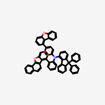 c1ccc(C2(c3ccccc3)c3ccccc3-c3c(N(c4ccc(-c5cccc6oc7ccccc7c56)cc4)c4ccccc4-c4cccc5oc6c7ccccc7ccc6c45)cccc32)cc1